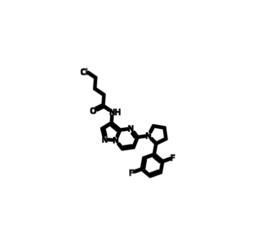 O=C(CCCCl)Nc1cnn2ccc(N3CCCC3c3cc(F)ccc3F)nc12